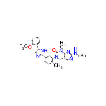 CCCCNc1ncc2c(n1)N(C)C(=O)N(c1cc(-c3ncc(-c4ccccc4OC(F)(F)F)[nH]3)ccc1C)C2